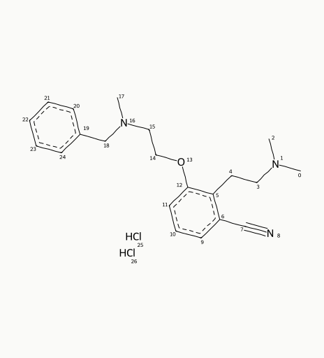 CN(C)CCc1c(C#N)cccc1OCCN(C)Cc1ccccc1.Cl.Cl